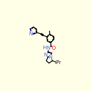 Cc1ccc(C(=O)Nc2cn3c(n2)CCC3C(C)C)cc1C#Cc1cccnc1